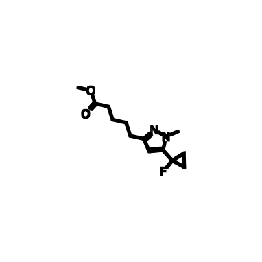 COC(=O)CCCCc1cc(C2(F)CC2)n(C)n1